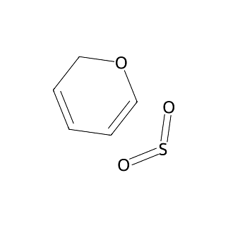 C1=CCOC=C1.O=S=O